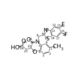 Cc1ccc2c(c1)N(Cc1nc3cc(F)c(F)cc3s1)C(=O)C(CC(=O)O)O2